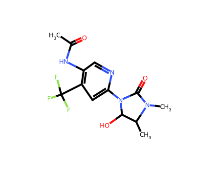 CC(=O)Nc1cnc(N2C(=O)N(C)C(C)C2O)cc1C(F)(F)F